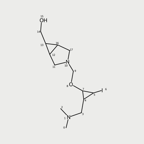 CN(C)CC1C(I)C1OCN1CC2C(CO)C2C1